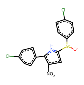 O=[N+]([O-])c1cc([S+]([O-])c2ccc(Cl)cc2)[nH]c1-c1ccc(Cl)cc1